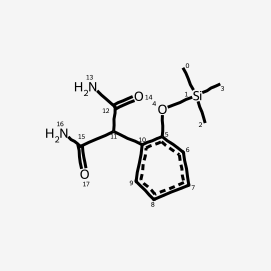 C[Si](C)(C)Oc1ccccc1C(C(N)=O)C(N)=O